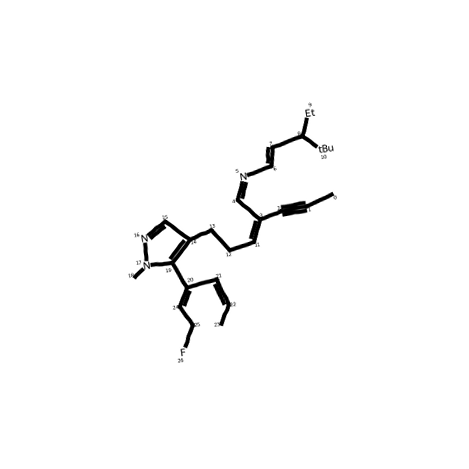 CC#CC(/C=N\C=C\C(CC)C(C)(C)C)=C/CCc1cnn(C)c1C(/C=C\C)=C/CF